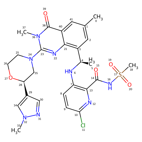 Cc1cc([C@@H](C)Nc2ccc(Cl)nc2C(=O)NS(C)(=O)=O)c2nc(N3CCO[C@H](c4cnn(C)c4)C3)n(C)c(=O)c2c1